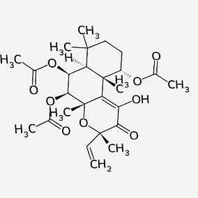 C=C[C@]1(C)O[C@@]2(C)C(=C(O)C1=O)[C@@]1(C)[C@@H](OC(C)=O)CCC(C)(C)[C@@H]1[C@H](OC(C)=O)[C@@H]2OC(C)=O